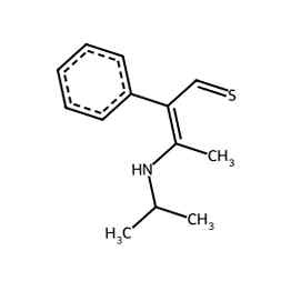 CC(NC(C)C)=C(C=S)c1ccccc1